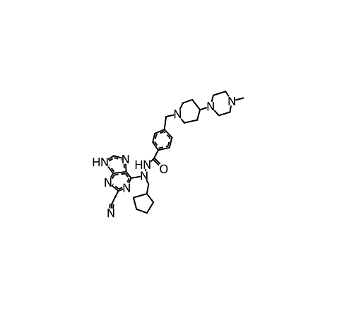 CN1CCN(C2CCN(Cc3ccc(C(=O)NN(CC4CCCC4)c4nc(C#N)nc5[nH]cnc45)cc3)CC2)CC1